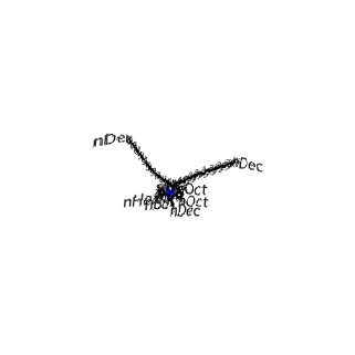 CCCCCCCCCCC#CC1=C(c2cc(CCCCCCCC)cc(CCCCCCCC)c2)[N+](=[N-])C(c2cc(CCCCCC)cc(CCCCCC)c2)=C1CCCC.CCCCCCCCCCCCCCCCCCCCCCCCCCCC[CH2][Ni][CH2]CCCCCCCCCCCCCCCCCCCCCCCCCCCC